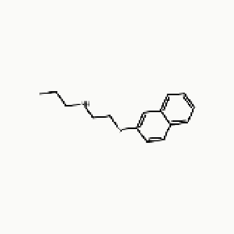 CCCNCCSc1ccc2ccccc2c1